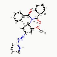 COc1cc(/N=N/c2ccccn2)ccc1N(C(=O)c1ccccc1)C(=O)c1ccccc1